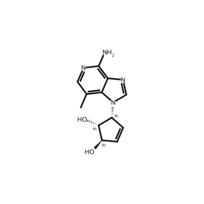 Cc1cnc(N)c2ncn([C@@H]3C=C[C@@H](O)[C@@H]3O)c12